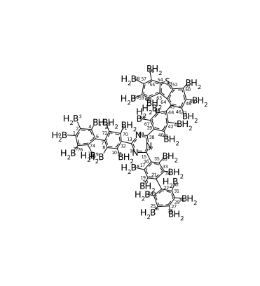 Bc1c(B)c(B)c(-c2c(B)c(B)c(-c3nc(-c4c(B)c(B)c(-c5c(B)c(B)c(B)c(B)c5B)c(B)c4B)nc(-c4c(B)c(B)c(-c5c(B)c(B)c(B)c6sc7c(B)c(B)c(B)c(B)c7c56)c(B)c4B)n3)c(B)c2B)c(B)c1B